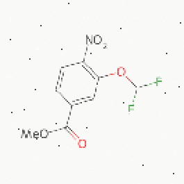 COC(=O)c1ccc([N+](=O)[O-])c(OC(F)F)c1